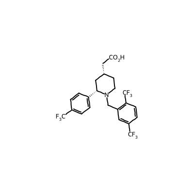 O=C(O)C[C@@H]1CCN(Cc2cc(C(F)(F)F)ccc2C(F)(F)F)[C@H](c2ccc(C(F)(F)F)cc2)C1